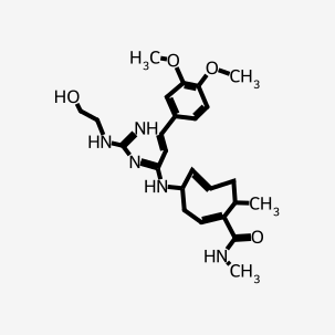 CNC(=O)/C1=C/CC(NC(/C=C/c2ccc(OC)c(OC)c2)=N/C(=N)NCCO)/C=C/CC1C